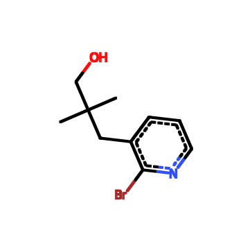 CC(C)(CO)Cc1cccnc1Br